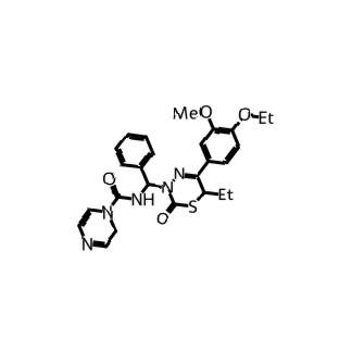 CCOc1ccc(C2=NN(C(NC(=O)N3C=CN=CC3)c3ccccc3)C(=O)SC2CC)cc1OC